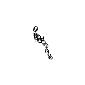 C[C@]12CC[C@H]3[C@@H](CC=C4C[C@@H](OCCOCCN5CCCC5)CC[C@@]43C)[C@@H]1CC[C@@H]2c1ccoc1